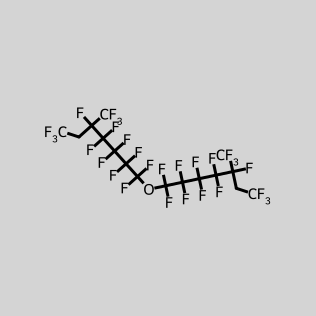 FC(F)(F)CC(F)(C(F)(F)F)C(F)(F)C(F)(F)C(F)(F)C(F)(F)OC(F)(F)C(F)(F)C(F)(F)C(F)(F)C(F)(CC(F)(F)F)C(F)(F)F